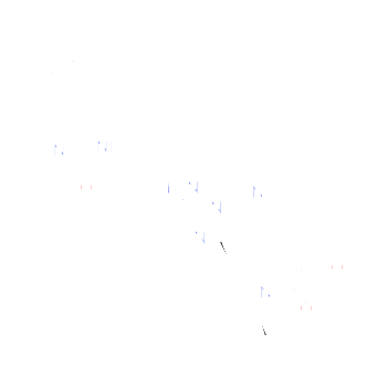 C[C@H]1CC[C@@H](C2=C3C=NC=C[N+]3(N)C(c3ccc(C(=O)Nc4cc(OC5CC5)ccn4)cc3)=N2)CN1C(=O)C1(C)COC1